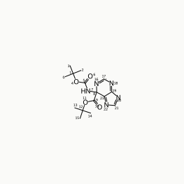 CC(C)(C)OC(=O)NC1(C(=O)OC(C)(C)C)N=[C]N=C2N=CN=C21